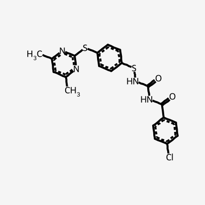 Cc1cc(C)nc(Sc2ccc(SNC(=O)NC(=O)c3ccc(Cl)cc3)cc2)n1